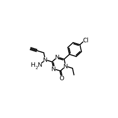 C#CCN(N)c1nc(-c2ccc(Cl)cc2)n(CC)c(=O)n1